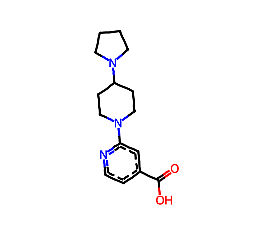 O=C(O)c1ccnc(N2CCC(N3CCCC3)CC2)c1